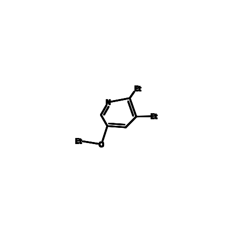 CCOc1cnc(CC)c(CC)c1